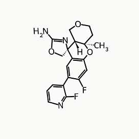 C[C@@]12CCOC[C@H]1[C@@]1(COC(N)=N1)c1cc(-c3cccnc3F)c(F)cc1O2